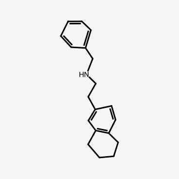 c1ccc(CNCCc2ccc3c(c2)CCCC3)cc1